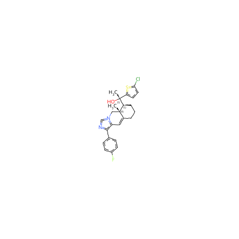 C[C@]12Cn3cnc(-c4ccc(F)cc4)c3C=C1CCC[C@@H]2[C@](C)(O)c1ccc(Cl)s1